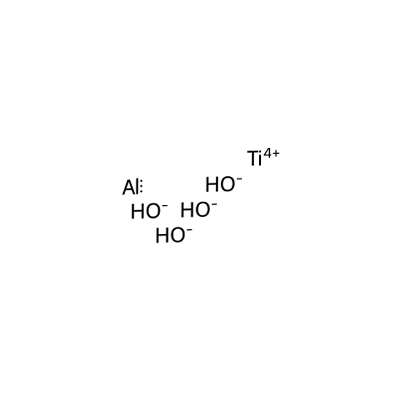 [Al].[OH-].[OH-].[OH-].[OH-].[Ti+4]